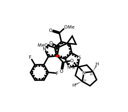 COC(=O)c1cc2sc(N3[C@@H]4CC[C@H]3C[C@@H](OC(=O)c3c(-c5c(F)cccc5F)noc3C3CC3)C4)nc2cc1OC